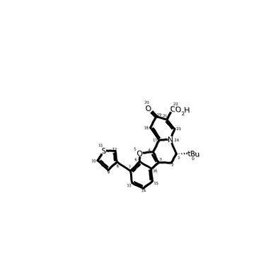 CC(C)(C)[C@@H]1Cc2c(oc3c(-c4ccsc4)cccc23)-c2cc(=O)c(C(=O)O)cn21